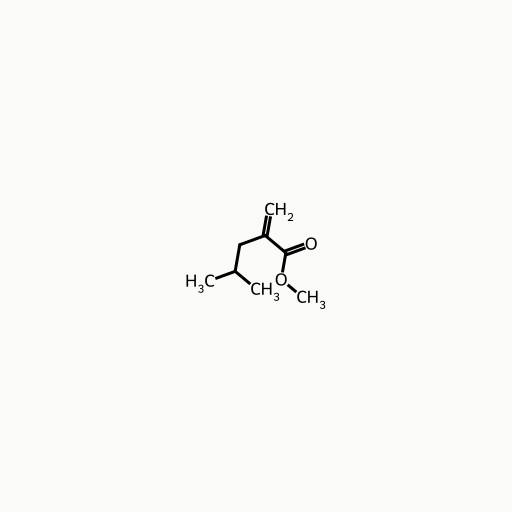 C=C(CC(C)C)C(=O)OC